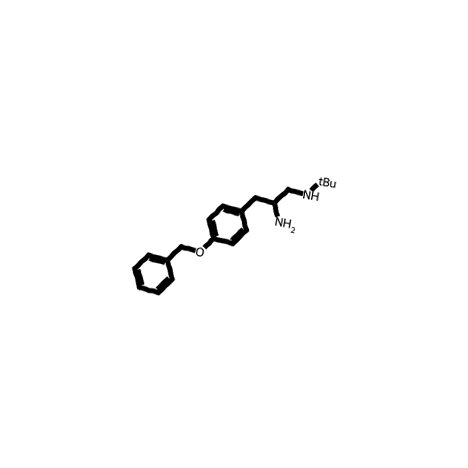 CC(C)(C)NCC(N)Cc1ccc(OCc2ccccc2)cc1